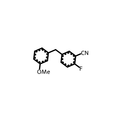 COc1cccc(Cc2ccc(F)c(C#N)c2)c1